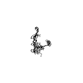 CC(C)[C@H](NC(=O)CCCCCCC(=O)ON1C(=O)CCC1=O)C(=O)N[C@@H](CCCNC(N)=O)C(=O)Nc1ccc(COC(=O)NCCSSc2ccccn2)cc1